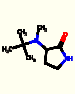 CN(C1CCNC1=O)C(C)(C)C